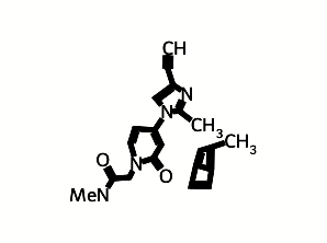 C#Cc1cn(-c2ccn(CC(=O)NC)c(=O)c2)c(C)n1.Cc1cc2ccc1-2